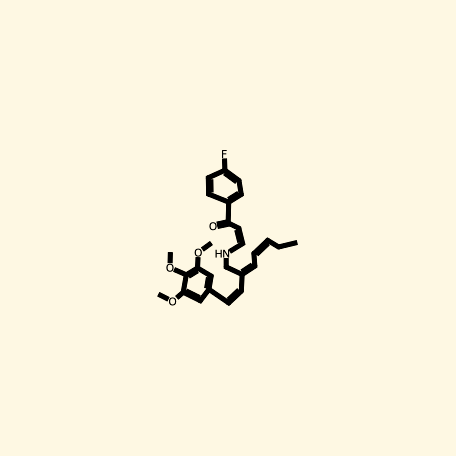 CC\C=C/C=C(/C=C\c1cc(OC)c(OC)c(OC)c1)CN/C=C\C(=O)c1ccc(F)cc1